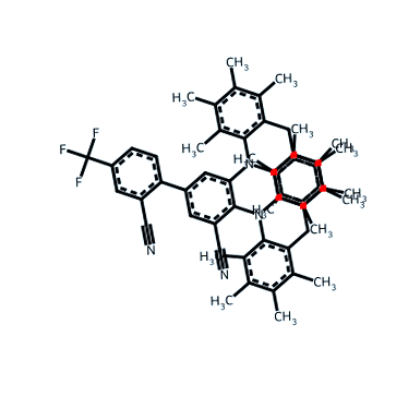 Cc1c(C)c(C)c2c(c1C)Cc1c(C)c(C)c(C)c(C)c1N2c1cc(-c2ccc(C(F)(F)F)cc2C#N)cc(C#N)c1N1c2c(C)c(C)c(C)c(C)c2Cc2c(C)c(C)c(C)c(C)c21